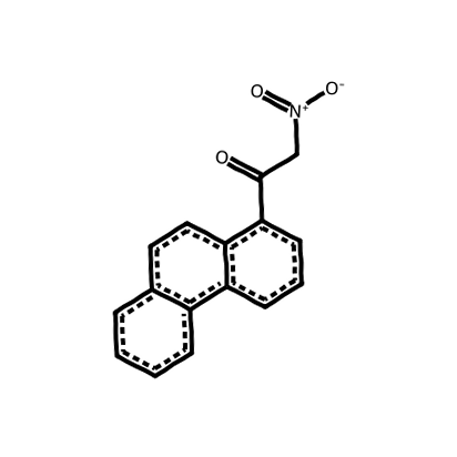 O=C(C[N+](=O)[O-])c1cccc2c1ccc1ccccc12